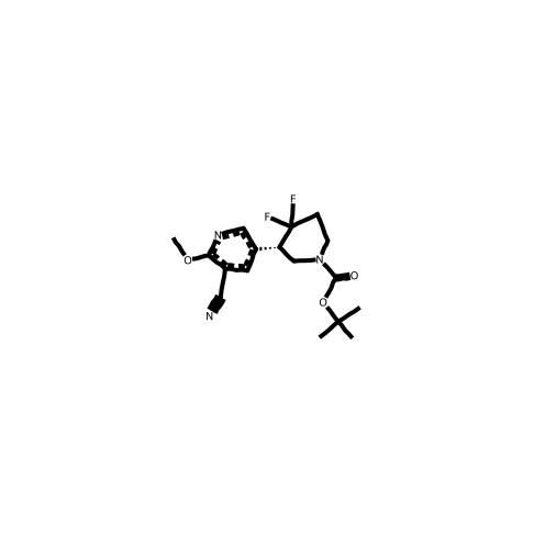 COc1ncc([C@H]2CN(C(=O)OC(C)(C)C)CCC2(F)F)cc1C#N